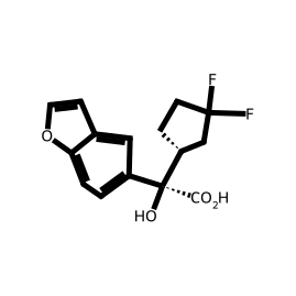 O=C(O)[C@](O)(c1ccc2occc2c1)[C@@H]1CCC(F)(F)C1